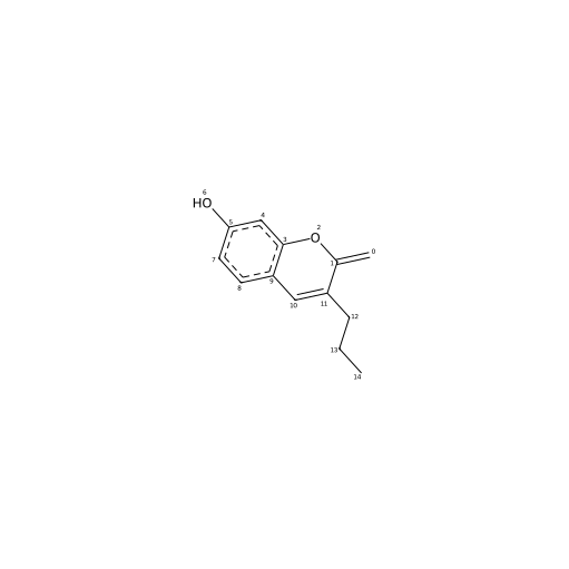 C=C1Oc2cc(O)ccc2C=C1CCC